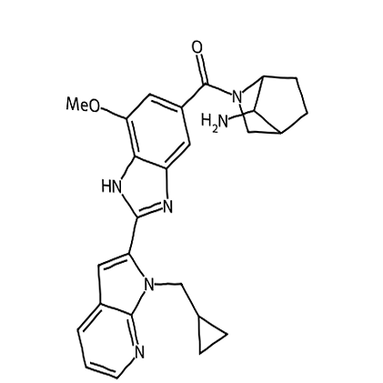 COc1cc(C(=O)N2CC3CCC2C3N)cc2nc(-c3cc4cccnc4n3CC3CC3)[nH]c12